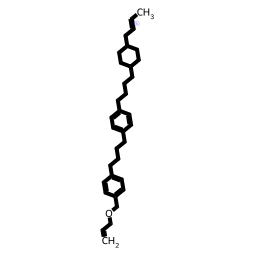 C=CCOCc1ccc(CCCCc2ccc(CCCCC3CCC(C/C=C/C)CC3)cc2)cc1